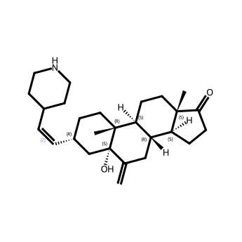 C=C1C[C@H]2[C@@H]3CCC(=O)[C@@]3(C)CC[C@@H]2[C@@]2(C)CC[C@@H](/C=C\C3CCNCC3)C[C@]12O